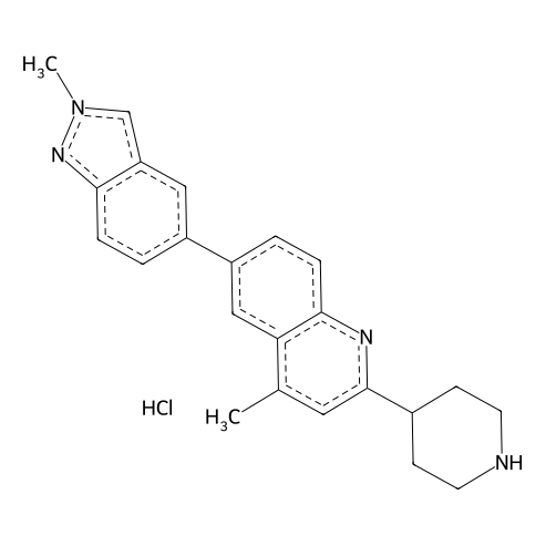 Cc1cc(C2CCNCC2)nc2ccc(-c3ccc4nn(C)cc4c3)cc12.Cl